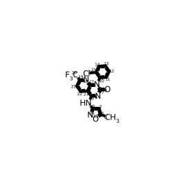 Cc1cc(Nc2nc(=O)n(-c3ccccc3Cl)c3nc(C(F)(F)F)ccc23)no1